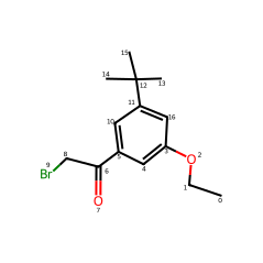 CCOc1cc(C(=O)CBr)cc(C(C)(C)C)c1